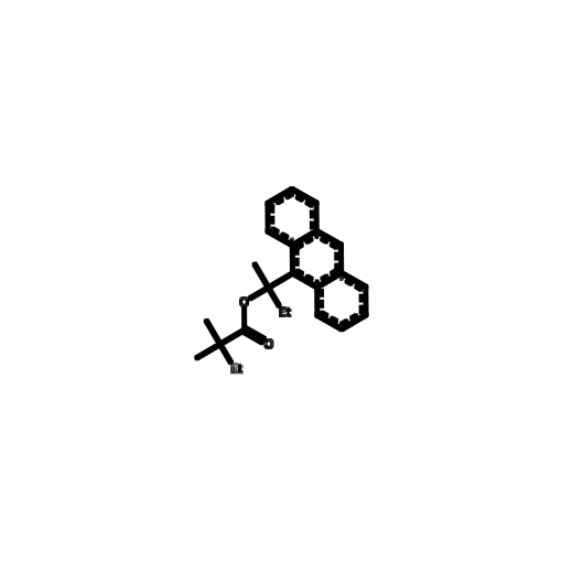 CCC(C)(C)C(=O)OC(C)(CC)c1c2ccccc2cc2ccccc12